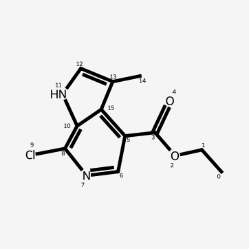 CCOC(=O)c1cnc(Cl)c2[nH]cc(C)c12